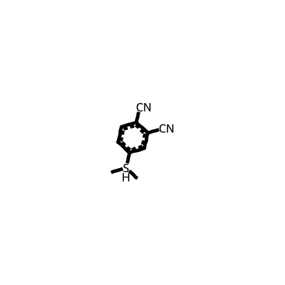 C[SH](C)c1ccc(C#N)c(C#N)c1